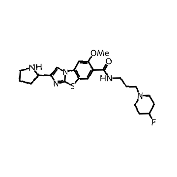 COc1cc2c(cc1C(=O)NCCCN1CCC(F)CC1)sc1nc(C3CCCN3)cn12